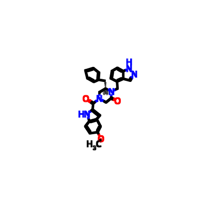 COc1ccc2[nH]c(C(=O)N3CC(=O)N(Cc4cccc5[nH]ncc45)[C@@H](Cc4ccccc4)C3)cc2c1